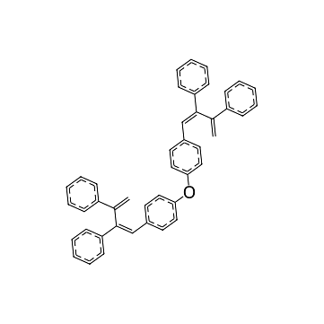 C=C(C(=Cc1ccc(Oc2ccc(C=C(C(=C)c3ccccc3)c3ccccc3)cc2)cc1)c1ccccc1)c1ccccc1